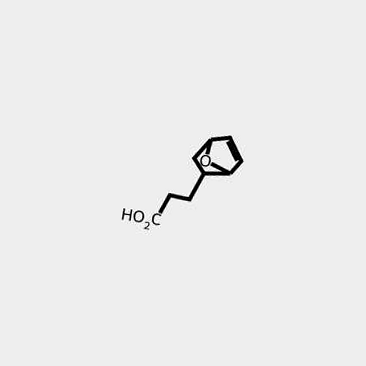 O=C(O)CCC1CC2C=CC1O2